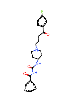 O=C(NC(=O)c1ccccc1)NC1CCN(CCCC(=O)c2ccc(F)cc2)CC1